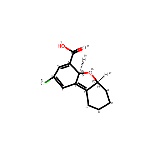 O=C(O)C1=CC(Cl)=CC2=C3CCCC[C@@H]3O[C@H]12